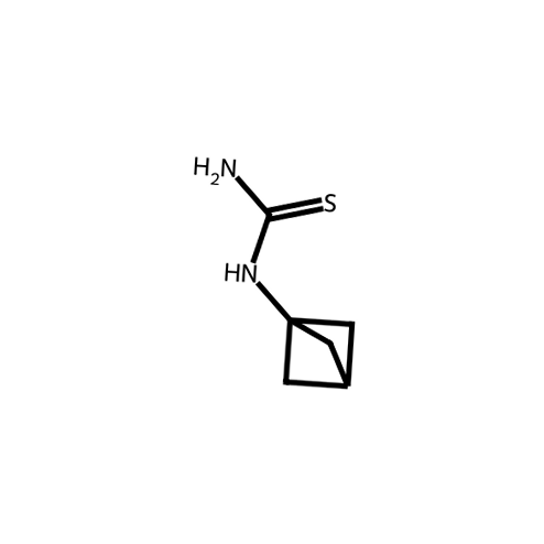 NC(=S)NC12CC(C1)C2